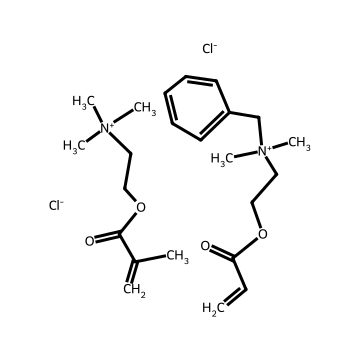 C=C(C)C(=O)OCC[N+](C)(C)C.C=CC(=O)OCC[N+](C)(C)Cc1ccccc1.[Cl-].[Cl-]